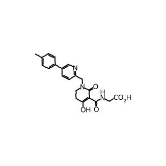 Cc1ccc(-c2ccc(CN3CCC(O)=C(C(=O)NCC(=O)O)C3=O)nc2)cc1